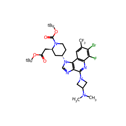 CN(C)C1CN(c2nc3c(F)c(Br)c(C(F)(F)F)cc3c3c2ncn3[C@H]2CCN(C(=O)OC(C)(C)C)[C@H](CC(=O)OC(C)(C)C)C2)C1